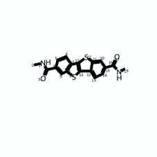 CNC(=O)c1ccc2c(c1)sc1c3ccc(C(=O)NC)cc3sc21